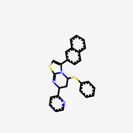 C1=C(c2ccc3ccccc3c2)N2C(=NC(c3ccccn3)CC2Sc2ccccc2)S1